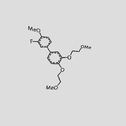 COCCOc1ccc(-c2ccc(OC)c(F)c2)cc1OCCOC